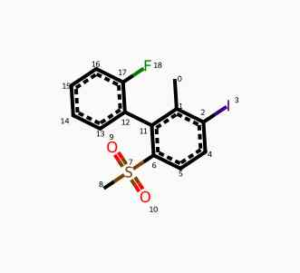 Cc1c(I)ccc(S(C)(=O)=O)c1-c1ccccc1F